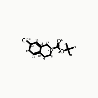 CC(C)(C)OC(=O)N1CCC2=CCC(Cl)C=C2C1